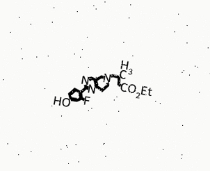 CCOC(=O)CC(C)CN1CCc2nc(-c3ccc(O)cc3F)ncc2C1